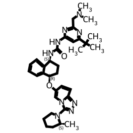 C[C@H]1CCCCN1c1nnc2ccc(O[C@@H]3CC[C@H](NC(=O)Nc4cc(C(C)(C)C)nc(CN(C)C)n4)c4ccccc43)cn12